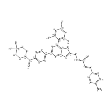 Nc1ccc(C=CC(=O)NCc2cc3cc(-c4ccc(C(=O)N5CCC(F)(F)CC5)cc4)cc(-c4c(F)cc(F)cc4F)c3o2)cn1